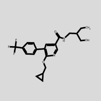 CCC(CO)CNC(=O)c1cnc(OCC2CC2)c(-c2ccc(C(F)(F)F)cc2)c1